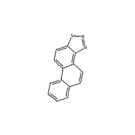 c1ccc2c(c1)ccc1c2ccc2snnc21